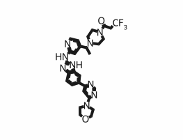 CC(c1ccnc(Nc2nc3ccc(-c4cc(N5CCOCC5)ncn4)cc3[nH]2)c1)N1CCN(C(=O)CC(F)(F)F)CC1